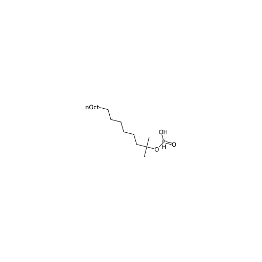 CCCCCCCCCCCCCCC(C)(C)O[PH](=O)O